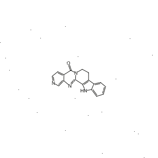 O=c1c2ccncc2nc2n1CCc1c-2[nH]c2ccccc12